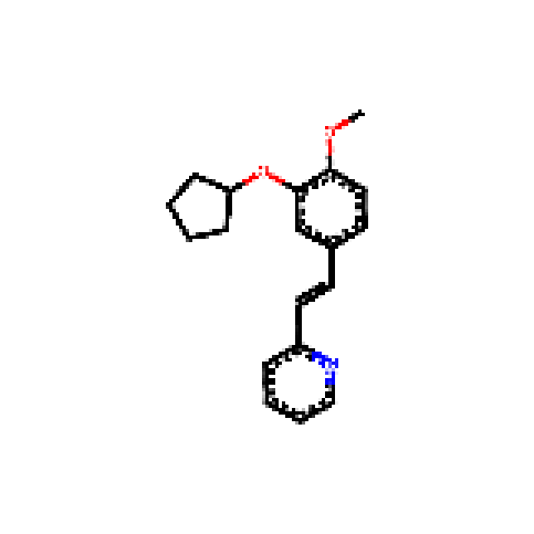 COc1ccc(C=Cc2ccccn2)cc1OC1CCCC1